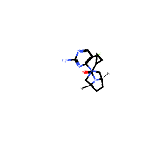 Nc1ncc(F)c(N2C[C@H]3CC[C@H](C2)N3C(=O)C2CC2)n1